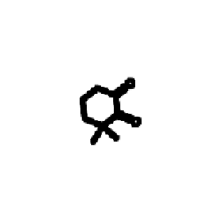 CC1(C)CCCC(=O)C1=O